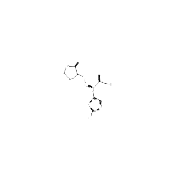 [NH]C(=O)C(=NOC1CCNC1=O)c1csc(N)n1